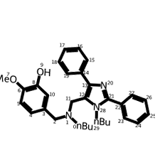 CCCCN(Cc1ccc(OC)c(O)c1)Cc1c(-c2ccccc2)nc(-c2ccccc2)n1CCCC